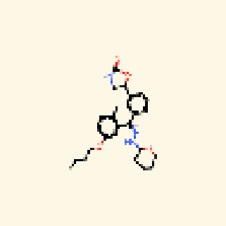 CCCCOc1ccc(C)c(/C(=N\NC2CCCCO2)c2cccc(C3CNC(=O)O3)c2)c1